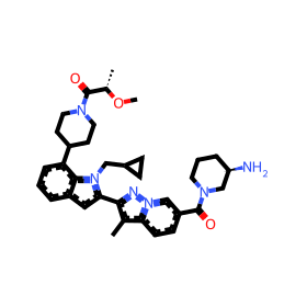 CO[C@@H](C)C(=O)N1CCC(c2cccc3cc(-c4nn5cc(C(=O)N6CCC[C@@H](N)C6)ccc5c4C)n(CC4CC4)c23)CC1